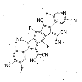 N#CC(C#N)=C1C(c2cc(C#N)ncc2F)=C(C#N)c2c(F)c3c(c(F)c21)C(=C(C#N)C#N)C(c1cc(F)c(C#N)cc1F)=C3C#N